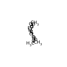 CC(C)OC(=O)N1CCC(c2cc3cc(-c4ccc(S(C)(=O)=O)cc4F)ncc3o2)CC1